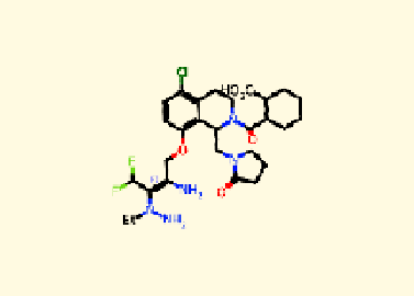 CCN(N)/C(=C(\N)COc1ccc(Cl)c2c1C(CN1CCCC1=O)N(C(=O)C1CCCCC1C(=O)O)CC2)C(F)F